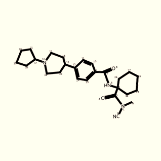 CN(C#N)C(=O)C1(NC(=O)c2ccc(C3CCN(C4CCCC4)CC3)cc2)CCCCC1